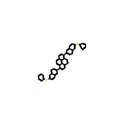 c1ccc(Sc2ccc3cc(-c4ccc5ccc6c(-c7ccc8cc(Sc9ccccc9)ccc8c7)ccc7ccc4c5c76)ccc3c2)cc1